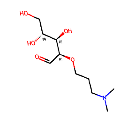 CN(C)CCCO[C@@H](C=O)[C@H](O)[C@H](O)CO